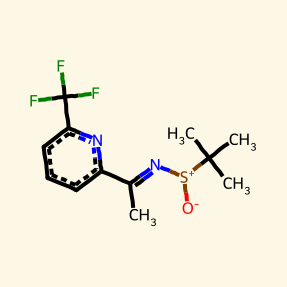 CC(=N[S+]([O-])C(C)(C)C)c1cccc(C(F)(F)F)n1